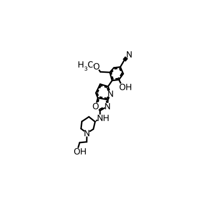 COCc1cc(C#N)cc(O)c1-c1ccc2oc(N[C@@H]3CCCN(CCO)C3)nc2n1